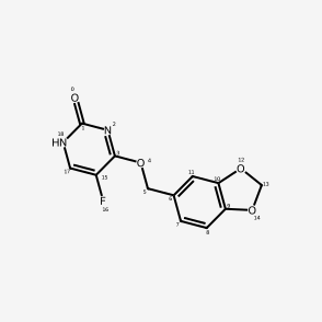 O=c1nc(OCc2ccc3c(c2)OCO3)c(F)c[nH]1